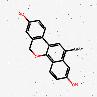 COc1cc2c(c3ccc(O)cc13)OCc1cc(O)ccc1-2